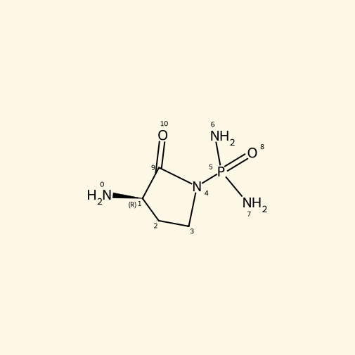 N[C@@H]1CCN(P(N)(N)=O)C1=O